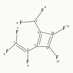 FC(F)=C(F)C1=C(C(F)F)C(F)=C1F